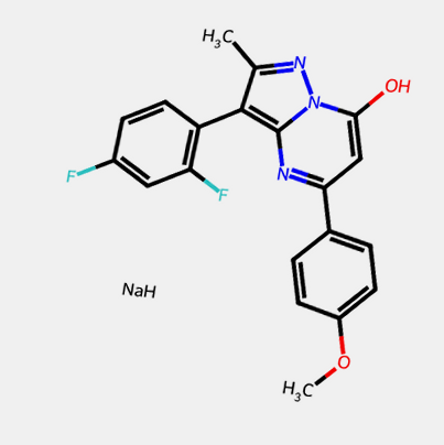 COc1ccc(-c2cc(O)n3nc(C)c(-c4ccc(F)cc4F)c3n2)cc1.[NaH]